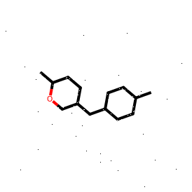 CC1CCC(CC2CCC(C)OC2)CC1